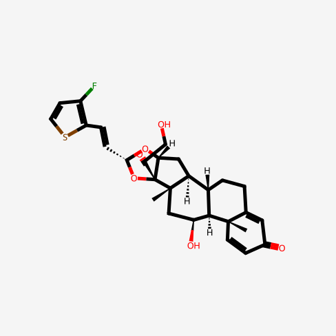 C[C@]12C=CC(=O)C=C1CC[C@@H]1[C@@H]2[C@@H](O)C[C@@]2(C)[C@H]1C[C@H]1O[C@@H](/C=C/c3sccc3F)O[C@]12C(=O)CO